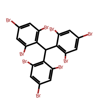 Brc1cc(Br)c(C(c2c(Br)cc(Br)cc2Br)c2c(Br)cc(Br)cc2Br)c(Br)c1